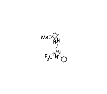 COc1ccc(C)n2nc(CCc3nc(-c4ccccc4)nn3CC(F)(F)F)nc12